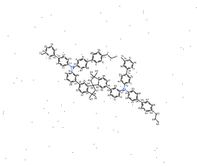 CCCc1ccc(-c2ccc(N(c3ccc(-c4cccc(C)c4)cc3)c3cccc(-c4ccc5c(c4)C4(CC5(C)C)CC(C)(C)c5ccc(-c6cccc(N(c7ccc(-c8ccc(CCC)cc8)cc7)c7ccc(-c8cccc(C)c8)cc7)c6)cc54)c3)cc2)cc1